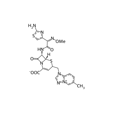 CO/N=C(\C(=O)N[C@@H]1C(=O)N2C(C(=O)[O-])=CC(Cn3cn[n+]4cc(C)ccc34)S[C@@H]12)c1csc(N)n1